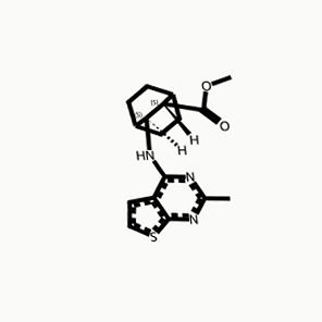 COC(=O)[C@H]1C2CCC(CC2)[C@@H]1Nc1nc(C)nc2sccc12